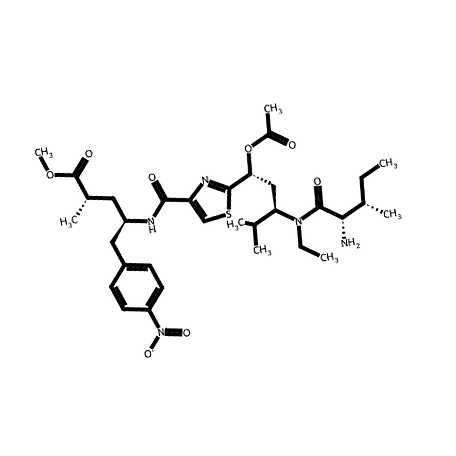 CC[C@H](C)[C@H](N)C(=O)N(CC)[C@H](C[C@@H](OC(C)=O)c1nc(C(=O)N[C@@H](Cc2ccc([N+](=O)[O-])cc2)C[C@H](C)C(=O)OC)cs1)C(C)C